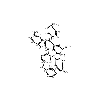 CC1C=C2C3=C([C@H]1C)N(c1ccc(C(C)(C)C)cc1)c1c(ccc4oc5ccccc5c14)B3c1sc3ccc(C(C)(C)C)cc3c1N2c1ccc(C(C)(C)C)cc1